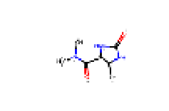 CCC1NC(=O)NC1C(=O)N(C)C